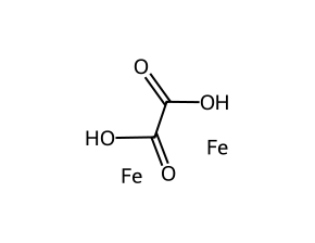 O=C(O)C(=O)O.[Fe].[Fe]